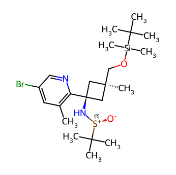 Cc1cc(Br)cnc1[C@]1(N[S@@+]([O-])C(C)(C)C)C[C@@](C)(CO[Si](C)(C)C(C)(C)C)C1